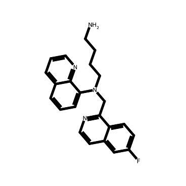 NCCCCN(Cc1nccc2cc(F)ccc12)c1cccc2cccnc12